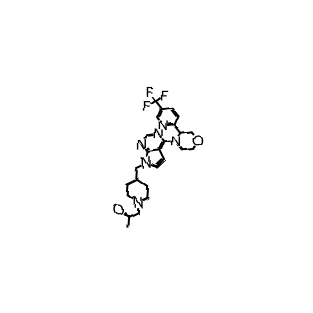 CC(=O)CN1CCC(Cn2ccc3c(N4CCOCC4c4ccc(C(F)(F)F)cn4)ncnc32)CC1